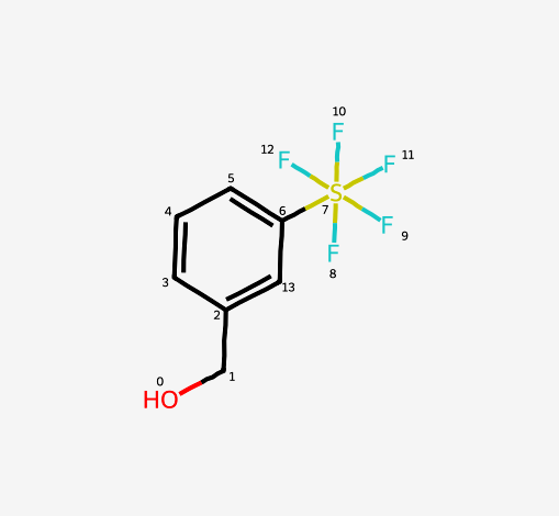 OCc1cccc(S(F)(F)(F)(F)F)c1